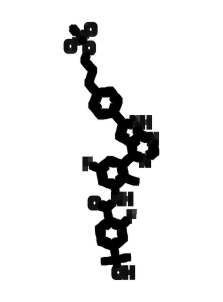 Cc1c(NC(=O)c2ccc(C(C)(C)O)cc2F)cc(F)cc1-c1ncnc2[nH]c(-c3ccc(CCCOS(C)(=O)=O)cc3)cc12